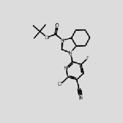 CC(C)(C)OC(=O)N1CN(c2nc(Cl)c(C#N)cc2F)C2CCCCC21